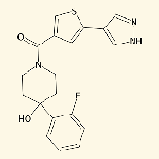 O=C(c1csc(-c2cn[nH]c2)c1)N1CCC(O)(c2ccccc2F)CC1